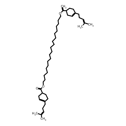 C=C(OCCCCCCCCCCCCCCCCCCCCOC(=O)C1CC=C(CCC=C(C)C)CC1)C1CC=C(CCC=C(C)C)CC1